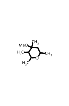 COC1(C)CC(C)OC(C)C1C